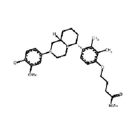 CNC(=O)CCCOc1ccc([C@H]2CCC[C@H]3CN(c4ccc(Cl)c(OC)c4)CCN32)c(C)c1C